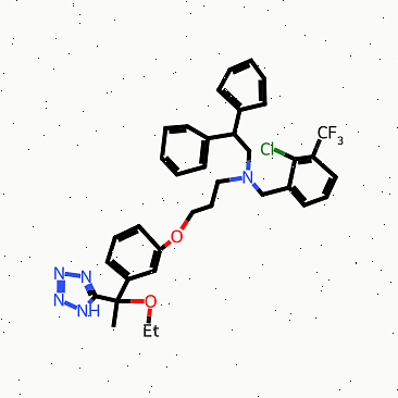 CCOC(C)(c1cccc(OCCCN(Cc2cccc(C(F)(F)F)c2Cl)CC(c2ccccc2)c2ccccc2)c1)c1nnn[nH]1